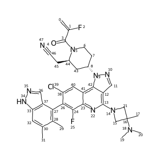 C=C(F)C(=O)N1CC[C@H](n2ncc3c(N4CC(C)(N(C)C)C4)nc4c(F)c(-c5c(C)c(C)cc6[nH]ncc56)c(Cl)cc4c32)C[C@H]1CC#N